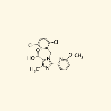 COc1cccc(-c2nc(C)c(C(=O)O)n2Cc2cc(Cl)ccc2Cl)n1